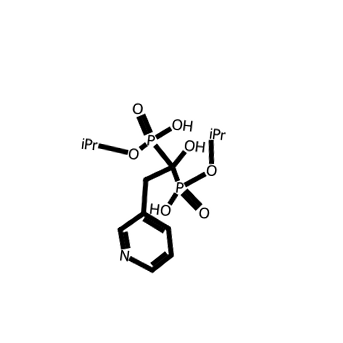 CC(C)OP(=O)(O)C(O)(Cc1cccnc1)P(=O)(O)OC(C)C